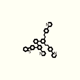 c1ccc(-c2ccc(CCc3cc(CCc4ccc(-c5ccccn5)cc4)cc(-c4ccccc4-c4ccc(-c5ccccn5)cc4-c4ccc5c(c4)sc4ccccc45)c3)cc2)nc1